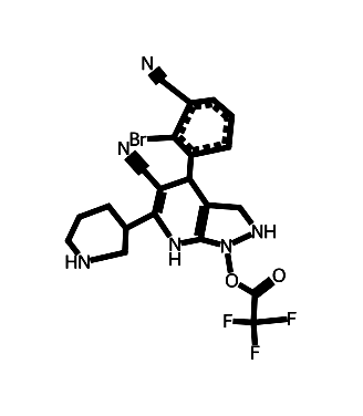 N#CC1=C(C2CCCNC2)NC2=C(CNN2OC(=O)C(F)(F)F)C1c1cccc(C#N)c1Br